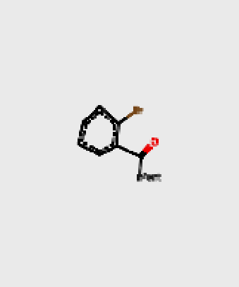 CCCCCC(=O)c1ccccc1Br